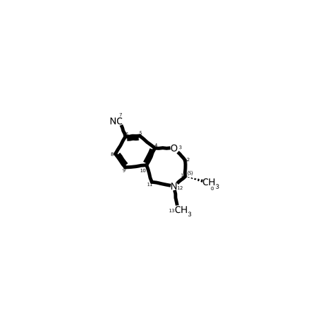 C[C@H]1COc2cc(C#N)ccc2CN1C